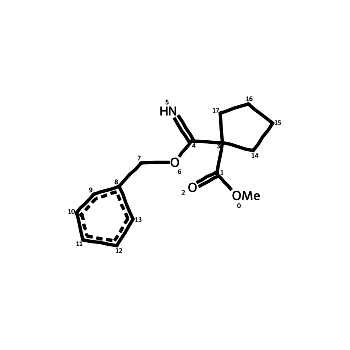 COC(=O)C1(C(=N)OCc2ccccc2)CCCC1